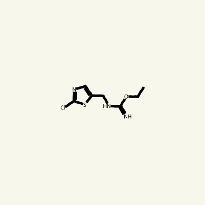 CCOC(=N)NCc1cnc(Cl)s1